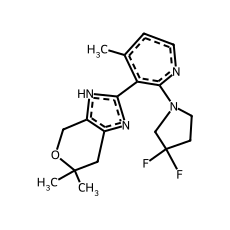 Cc1ccnc(N2CCC(F)(F)C2)c1-c1nc2c([nH]1)COC(C)(C)C2